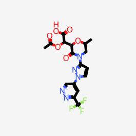 CC(=O)OC(C(=O)O)C1OC(C)CN(c2ccn(-c3cnnc(C(F)(F)F)c3)n2)C1=O